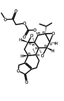 COC(=O)COC(=O)O[C@@H]1[C@@]2(C(C)C)O[C@H]2[C@@H]2O[C@]23[C@]12O[C@H]2C[C@H]1C2=C(CC[C@@]13C)C(=O)OC2